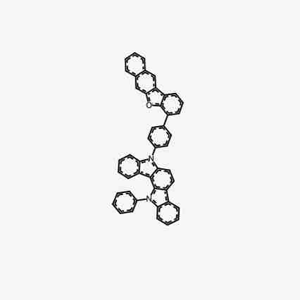 c1ccc(-n2c3ccccc3c3ccc4c(c5ccccc5n4-c4ccc(-c5cccc6c5oc5cc7ccccc7cc56)cc4)c32)cc1